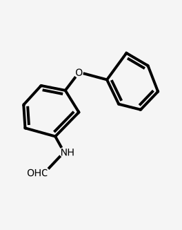 O=CNc1cccc(Oc2ccccc2)c1